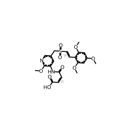 COc1cc(OC)c(/C=C/S(=O)(=O)Cc2cnc(OC)c(NC(=O)/C=C\C(=O)O)c2)c(OC)c1